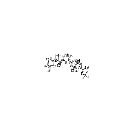 CC(C)(C)OC(=O)N1C[C@@H]2CN(c3cncc(C(=O)Nc4cccc(I)c4)c3)C[C@@H]2C1